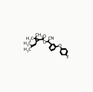 CC(C)=CC1C(C(=O)OC(C#N)c2cccc(Oc3ccc(F)cc3)c2)C1(C)C